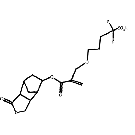 C=C(COCCCC(F)(F)S(=O)(=O)O)C(=O)OC1CC2CC1C1COC(=O)C21